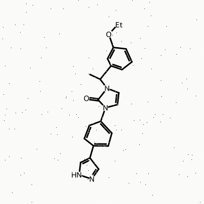 CCOc1cccc(C(C)n2ccn(-c3ccc(-c4cn[nH]c4)cc3)c2=O)c1